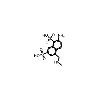 CNCc1cc(S(=O)(=O)O)cc2c(S(=O)(=O)O)c(N)ccc12